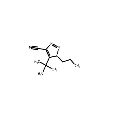 CCCn1nnc(C#N)c1C(C)(C)C